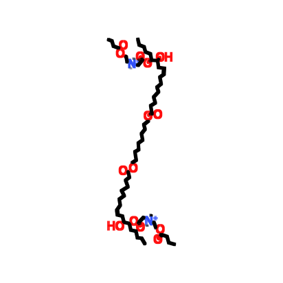 CCCCCC(OC(=O)C[N+](C)(C)CCOC(=O)CCC)C(O)C/C=C\CCCCCCCC(=O)OCCCCCCCCCCOC(=O)CCCCCCC/C=C\CC(O)C(CCCCC)OC(=O)C[N+](C)(C)CCOC(=O)CCC